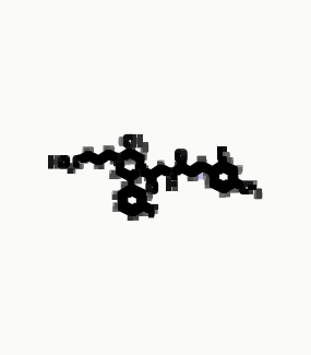 C[C@@H]1CN(C(=O)CNC(=O)/C=C/c2ccc(C(F)(F)F)cc2F)[C@@H](c2cccc(F)c2)CN1CCCC(=O)O